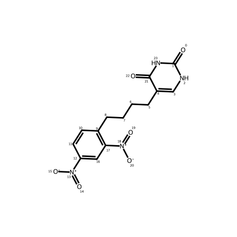 O=c1[nH]cc(CCCCc2ccc([N+](=O)[O-])cc2[N+](=O)[O-])c(=O)[nH]1